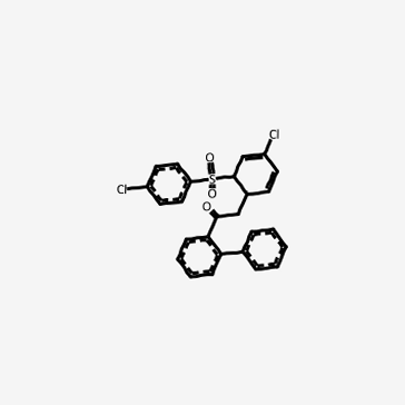 O=C(C[C]1C=CC(Cl)=CC1S(=O)(=O)c1ccc(Cl)cc1)c1ccccc1-c1ccccc1